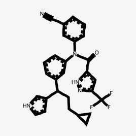 N#Cc1cccc(N(C(=O)c2cc(C(F)(F)F)n[nH]2)c2cccc(C(CCC3CC3)c3cc[nH]c3)c2)c1